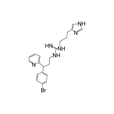 N=C(NCCCc1c[nH]cn1)NCCC(c1ccc(Br)cc1)c1ccccn1